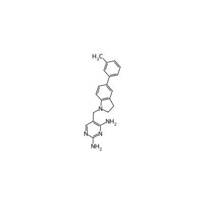 Cc1cccc(-c2ccc3c(c2)CCN3Cc2cnc(N)nc2N)c1